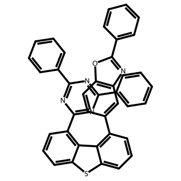 c1ccc(-c2nc(-c3ccccc3)nc(-c3cccc4sc5cccc(-c6ccc7oc(-c8ccccc8)nc7c6)c5c34)n2)cc1